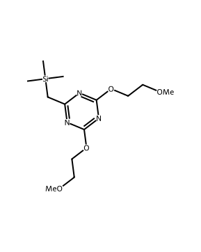 COCCOc1nc(C[Si](C)(C)C)nc(OCCOC)n1